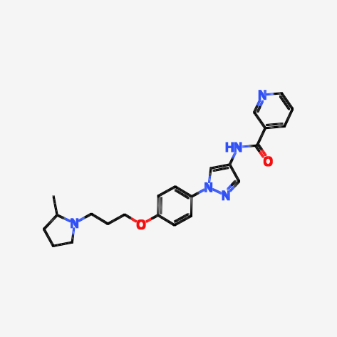 CC1CCCN1CCCOc1ccc(-n2cc(NC(=O)c3cccnc3)cn2)cc1